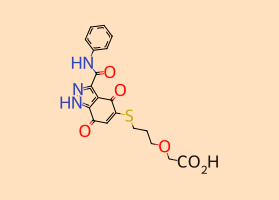 O=C(O)COCCCSC1=CC(=O)c2[nH]nc(C(=O)Nc3ccccc3)c2C1=O